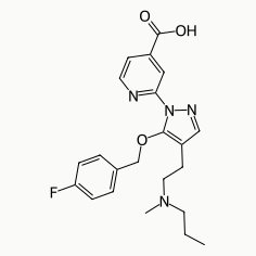 CCCN(C)CCc1cnn(-c2cc(C(=O)O)ccn2)c1OCc1ccc(F)cc1